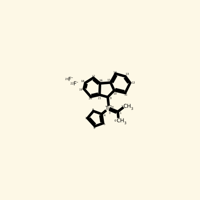 C[C](C)=[Ti+2]([C]1=CC=CC1)[CH]1c2ccccc2-c2ccccc21.[F-].[F-]